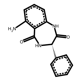 Nc1cccc2c1C(=O)N[C@@H](c1ccccc1)C(=O)N2